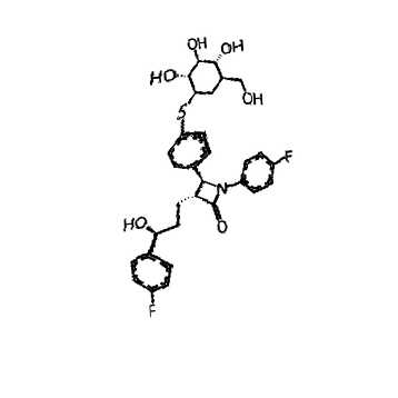 O=C1[C@H](CC[C@H](O)c2ccc(F)cc2)[C@@H](c2ccc(S[C@@H]3C[C@H](CO)[C@@H](O)[C@H](O)[C@H]3O)cc2)N1c1ccc(F)cc1